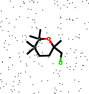 CC1(CCl)CC[Si](C)(C)[Si](C)(C)O1